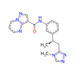 C[C@H](Cc1nncn1C)c1cccc(NC(=O)c2cnn3cccnc23)c1